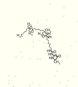 CCCCCC(C)(C)OC(=O)CCCCCC(C)(C)NC(=O)NCCCCCCNC(=O)Nc1nc(=O)cc(C)[nH]1